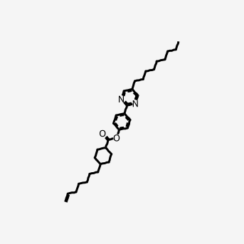 C=CCCCCCC1CCC(C(=O)Oc2ccc(-c3ncc(CCCCCCCCC)cn3)cc2)CC1